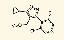 COCc1c(-c2c(Cl)cncc2Cl)noc1C1CC1